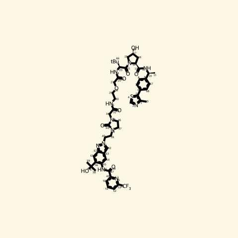 Cc1ncsc1-c1ccc([C@H](C)NC(=O)[C@@H]2C[C@@H](O)CN2C(=O)[C@@H](NC(=O)COCCNC(=O)CN2CCN(CCn3cc4cc(NC(=O)c5cccc(C(F)(F)F)n5)c(C(C)(C)O)cc4n3)C2=O)C(C)(C)C)cc1